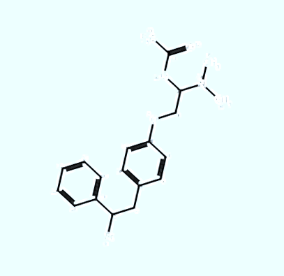 CCC(Cc1ccc(OCC(OC(=O)C(F)(F)F)N(C)C)cc1)c1ccccc1